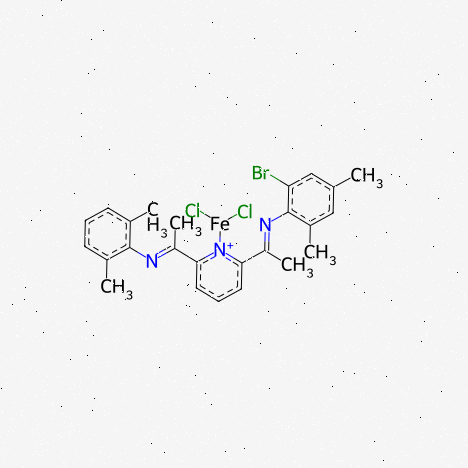 CC(=Nc1c(C)cccc1C)c1cccc(C(C)=Nc2c(C)cc(C)cc2Br)[n+]1[Fe]([Cl])[Cl]